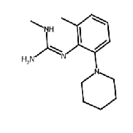 CN/C(N)=N\c1c(C)cccc1N1CCCCC1